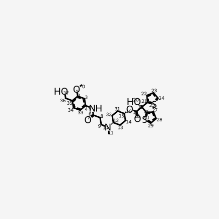 COc1cc(NC(=O)CCN(C)[C@H]2CC[C@H](OC(=O)C(O)(c3cccs3)c3cccs3)CC2)ccc1CO